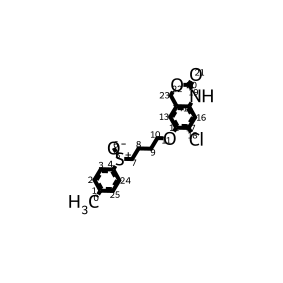 Cc1ccc([S+]([O-])CCCCOc2cc3c(cc2Cl)NC(=O)OC3)cc1